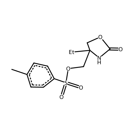 CCC1(COS(=O)(=O)c2ccc(C)cc2)COC(=O)N1